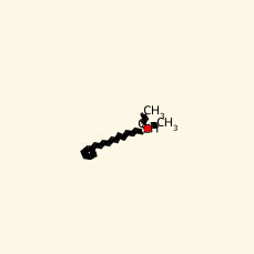 CCCO[SiH](CCCCCCCCCCCCc1ccccc1)OCCC